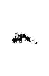 Cc1ccc(C2=CCNC(CCS(=O)(=O)Cc3c[nH]c4ccccc34)C2)cc1